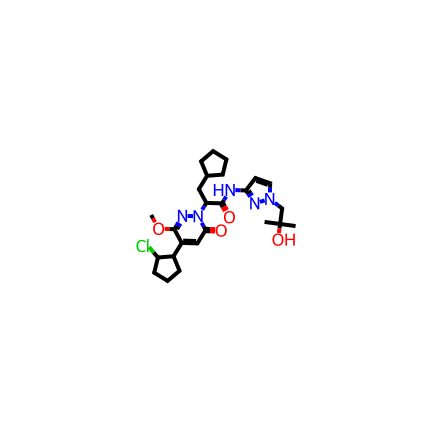 COc1nn(C(CC2CCCC2)C(=O)Nc2ccn(CC(C)(C)O)n2)c(=O)cc1C1CCCC1Cl